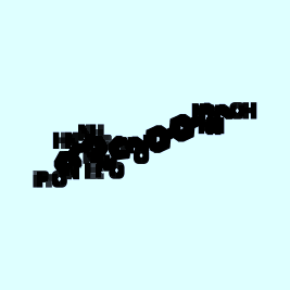 CCN(C(=O)[C@@H]1CCN(CC(=O)N2CC=C(c3ccc(C(=N)/N=C\NCCO)cc3)CC2)C1)c1ccc(N)c(C(=N)c2ccc(OC(C)C)nc2)n1